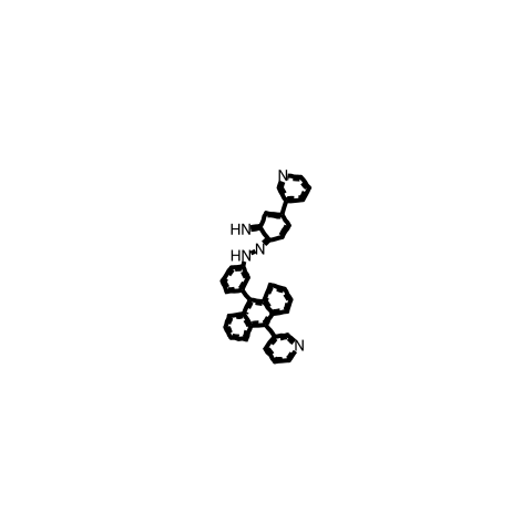 N=C1C=C(c2cccnc2)C=C/C1=N/Nc1cccc(-c2c3ccccc3c(-c3cccnc3)c3ccccc23)c1